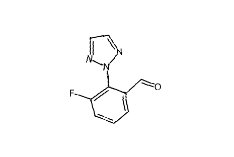 O=Cc1cccc(F)c1-n1nccn1